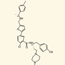 Cc1ccc([C@@H](C)NCc2ccc(-c3ccc(Cl)c(C(=O)N[C@@H](CCN4CCN(C)CC4)Cc4ccc(C#N)cc4)c3)o2)cc1